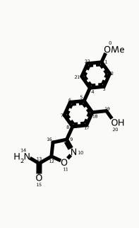 COc1ccc(-c2ccc(C3=NOC(C(N)=O)C3)cc2CO)cc1